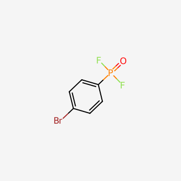 O=P(F)(F)c1ccc(Br)cc1